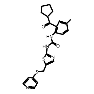 Cc1ccc(NC(=O)Nc2ncc(CSc3ccncc3)s2)c(C(=O)C2CCCC2)c1